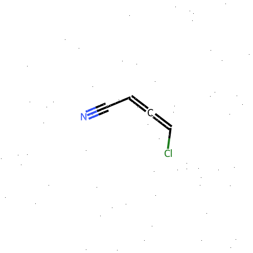 N#CC=C=CCl